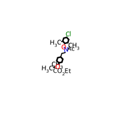 CCOC(=O)C(C)(C)Oc1ccc(CCN(Oc2c(C)cc(Cl)cc2C)C(C)=O)cc1